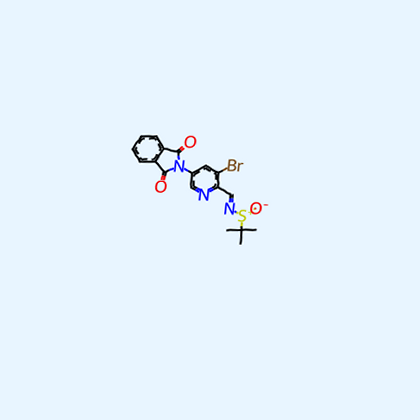 CC(C)(C)[S+]([O-])N=Cc1ncc(N2C(=O)c3ccccc3C2=O)cc1Br